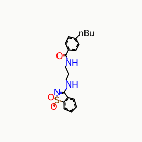 CCCCc1ccc(C(=O)NCCCNC2=NS(=O)(=O)c3ccccc32)cc1